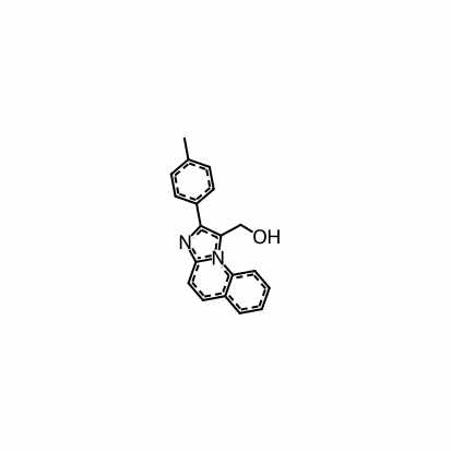 Cc1ccc(-c2nc3ccc4ccccc4n3c2CO)cc1